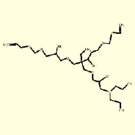 C=CCOCOCC(O)COCC(CC)(COCC(O)CN(CCO)CCO)C(O)CCOCOC=C